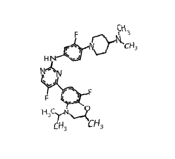 CC1CN(C(C)C)c2cc(-c3nc(Nc4ccc(N5CCC(N(C)C)CC5)c(F)c4)ncc3F)cc(F)c2O1